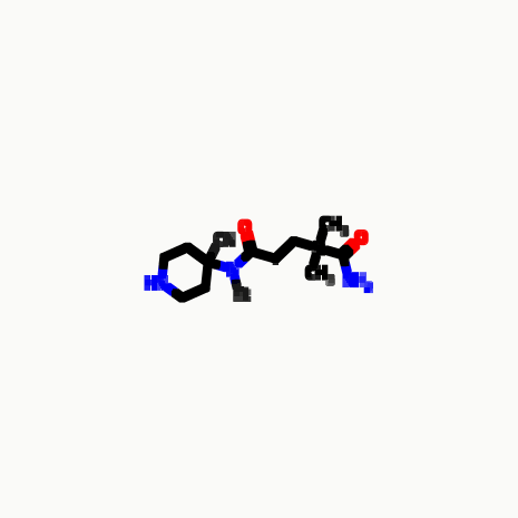 CCN(C(=O)[CH]C[Si](C)(C)C(N)=O)C1(C#N)CCNCC1